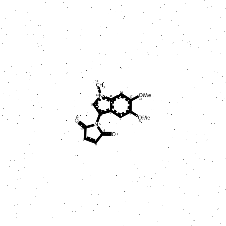 COc1cc2c(N3C(=O)C=CC3=O)cn(C)c2cc1OC